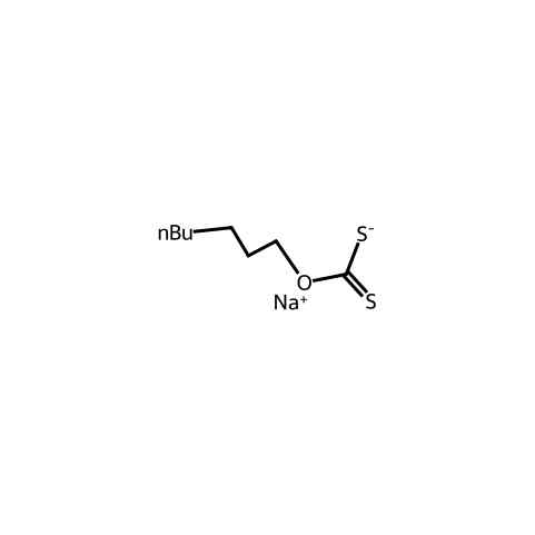 CCCCCCCOC(=S)[S-].[Na+]